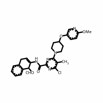 COc1ccc(OC2CCN(c3nc(C(=O)NC4=CCc5ccccc5C4C=O)nc(Cl)c3C)CC2)cn1